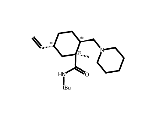 C=C[C@@H]1CC[C@@H](CN2CCCCC2)[C@@](C)(C(=O)NC(C)(C)C)C1